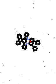 c1ccc(-c2ccc(-n3c4ccccc4c4c5c6ccccc6c6ccccc6c5c5c6ccccc6n(-c6cccc(-c7ccccc7)c6)c5c43)cc2)cc1